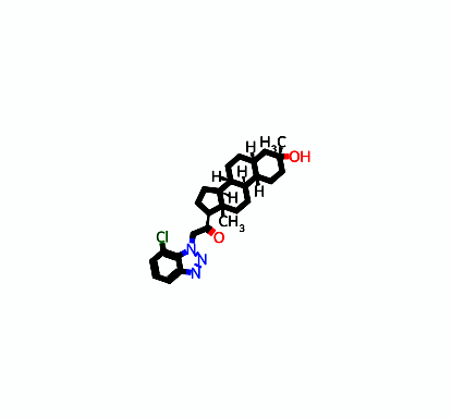 C[C@@]1(O)CC[C@H]2[C@H](CC[C@@H]3[C@@H]2CC[C@]2(C)[C@@H](C(=O)Cn4nnc5cccc(Cl)c54)CC[C@@H]32)C1